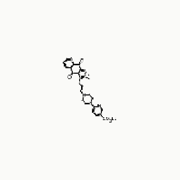 CCOC(=O)c1ccc(N2CCN(CCCn3c4c(n[n+]3C)C(=O)c3ncccc3C4=O)CC2)nc1